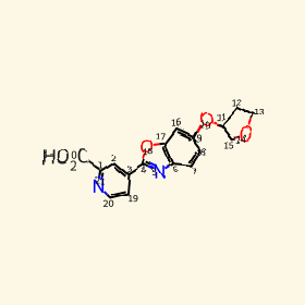 O=C(O)c1cc(-c2nc3ccc(OC4CCOC4)cc3o2)ccn1